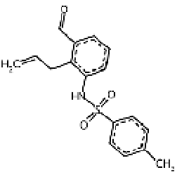 C=CCc1c(C=O)cccc1NS(=O)(=O)c1ccc(C)cc1